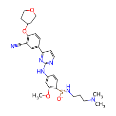 COc1cc(Nc2nccc(-c3ccc(OC4CCOCC4)c(C#N)c3)n2)ccc1[S+]([O-])NCCCN(C)C